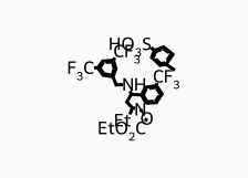 CCOC(=O)ON1c2ccc(C(F)(F)F)cc2C(NCc2cc(C(F)(F)F)cc(C(F)(F)F)c2)CC1CC.Cc1ccc(S(=O)(=O)O)cc1